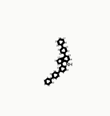 c1ccc(-c2ccc(-c3ccc4c(c3)C35CCC(C3)c3c(-c6ccc(-c7ccccc7)cc6)ccc(c35)N4)cc2)cc1